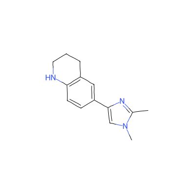 Cc1nc(-c2ccc3c(c2)CCCN3)cn1C